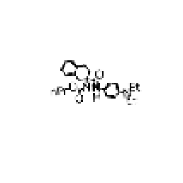 CCCOC(=O)NC1(C(=O)Nc2ccc(N(CC)CC)cc2)CCc2ccccc2C1